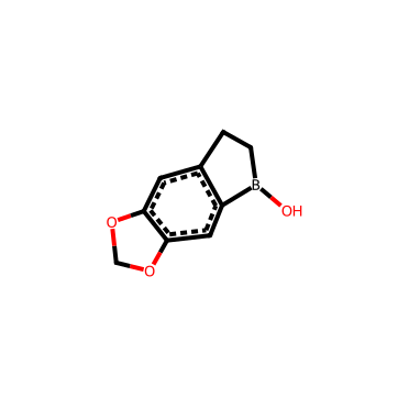 OB1CCc2cc3c(cc21)OCO3